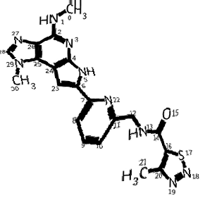 CNc1nc2[nH]c(-c3cccc(CNC(=O)c4snnc4C)n3)cc2c2c1ncn2C